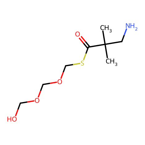 CC(C)(CN)C(=O)SCOCOCO